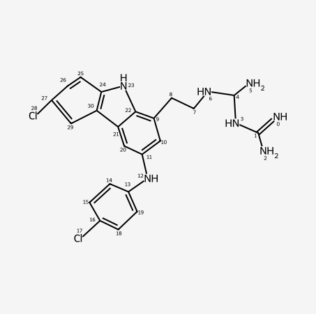 N=C(N)NC(N)NCCc1cc(Nc2ccc(Cl)cc2)cc2c1[nH]c1ccc(Cl)cc12